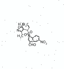 C=CC(c1c(C)noc1C)S(=O)(=O)n1cc(C=O)c2cc([N+](=O)[O-])ccc21